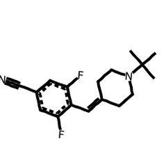 CC(C)(C)N1CCC(=Cc2c(F)cc(C#N)cc2F)CC1